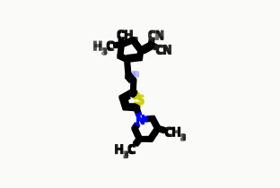 CC1CC(C)CN(c2ccc(/C=C/C3=CC(=C(C#N)C#N)CC(C)(C)C3)s2)C1